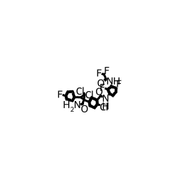 NC(=O)C1(c2ccc(Cl)c(C(=O)Nc3ccc(F)c(NC(=O)C(F)F)c3F)c2)C(c2ccc(F)cc2)C1(Cl)Cl